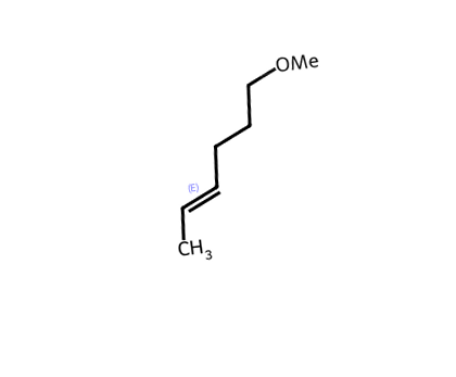 C/C=C/CCCOC